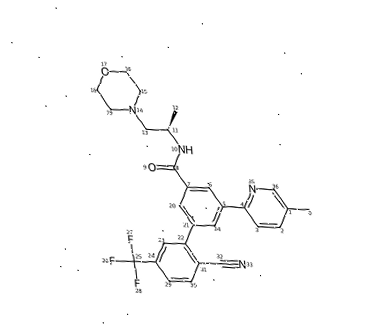 Cc1ccc(-c2cc(C(=O)N[C@H](C)CN3CCOCC3)cc(-c3cc(C(F)(F)F)ccc3C#N)c2)nc1